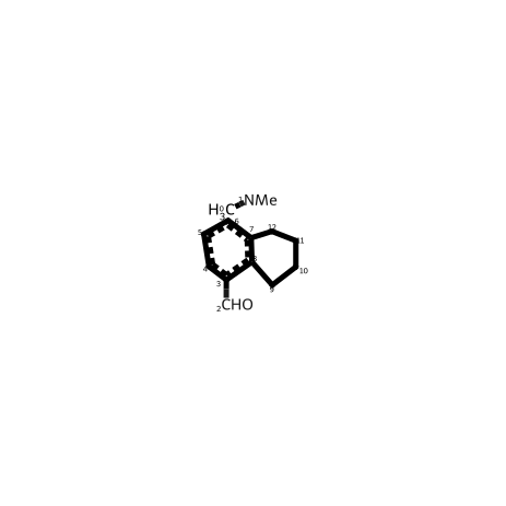 CNC.O=Cc1cccc2c1CCCC2